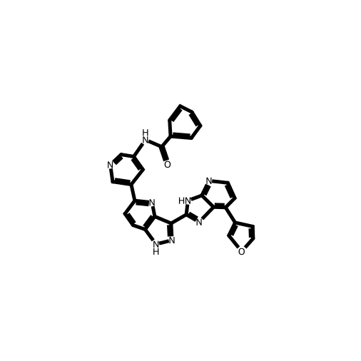 O=C(Nc1cncc(-c2ccc3[nH]nc(-c4nc5c(-c6ccoc6)ccnc5[nH]4)c3n2)c1)c1ccccc1